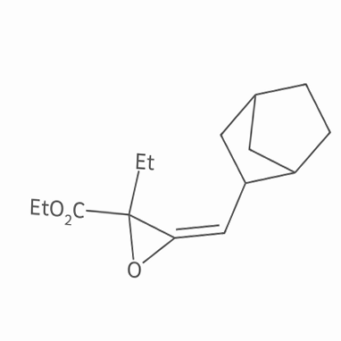 CCOC(=O)C1(CC)OC1=CC1CC2CCC1C2